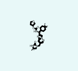 C[C@@H]1CN(Cc2cnn3cc([C@@H](NC(=O)O[C@H]4CCOC4)C4CCC(F)(F)CC4)nc3c2)C(=O)N1